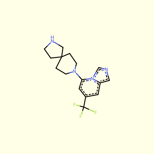 FC(F)(F)c1cc(N2CCC3(CCNC3)CC2)n2cncc2c1